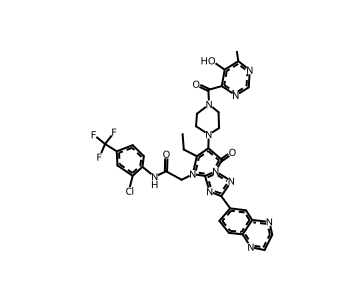 CCc1c(N2CCN(C(=O)c3ncnc(C)c3O)CC2)c(=O)n2nc(-c3ccc4nccnc4c3)nc2n1CC(=O)Nc1ccc(C(F)(F)F)cc1Cl